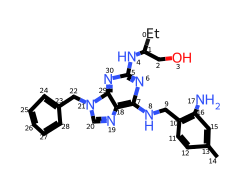 CCC(CO)Nc1nc(NCc2ccc(C)cc2N)c2ncn(Cc3ccccc3)c2n1